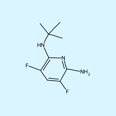 CC(C)(C)Nc1nc(N)c(F)cc1F